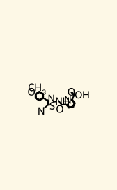 COc1ccc(-c2nc(NC(=O)c3cccc(C(=O)O)n3)sc2C#N)cc1